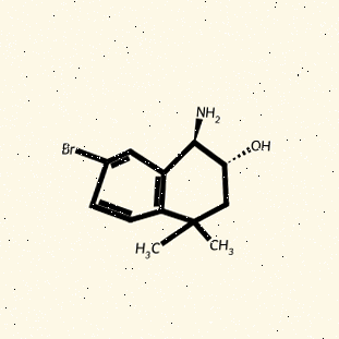 CC1(C)C[C@@H](O)[C@H](N)c2cc(Br)ccc21